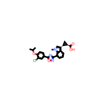 CC(C)Oc1ccc(-c2nc(-c3cccc4c([C@@H]5C[C@H]5C(=O)O)cn(C)c34)no2)cc1Cl